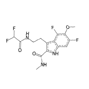 CNC(=O)c1[nH]c2cc(F)c(OC)c(F)c2c1CCNC(=O)C(F)F